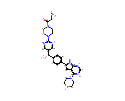 C=CC(=O)N1CCN(c2ncc([C@@H](O)c3ccc(-c4cc5c(N6CCOCC6)ncnc5[nH]4)cc3)cn2)CC1